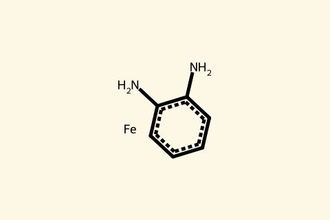 Nc1ccccc1N.[Fe]